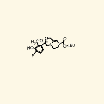 Cc1c([C@]2(O)CN3CCN(C(=O)OC(C)(C)C)C=C3CO2)ccc(F)c1C#N